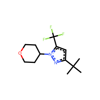 CC(C)(C)c1cc(C(F)(F)F)n(C2CCOCC2)n1